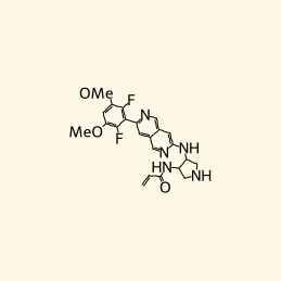 C=CC(=O)NC1CNCC1Nc1cc2cnc(-c3c(F)c(OC)cc(OC)c3F)cc2cn1